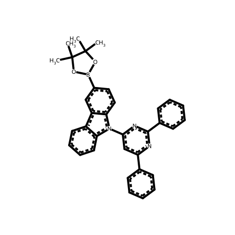 CC1(C)OB(c2ccc3c(c2)c2ccccc2n3-c2cc(-c3ccccc3)nc(-c3ccccc3)n2)OC1(C)C